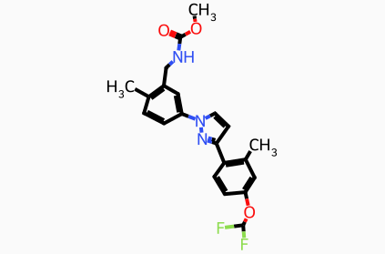 COC(=O)NCc1cc(-n2ccc(-c3ccc(OC(F)F)cc3C)n2)ccc1C